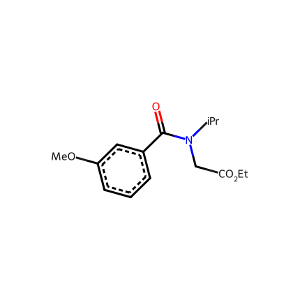 CCOC(=O)CN(C(=O)c1cccc(OC)c1)C(C)C